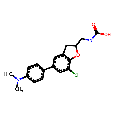 CN(C)c1ccc(-c2cc(Cl)c3c(c2)CC(CNC(=O)O)O3)cc1